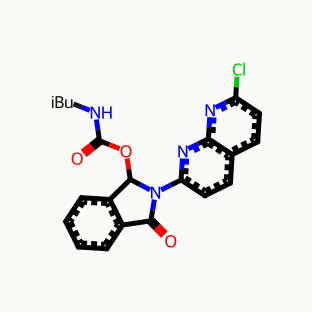 CCC(C)NC(=O)OC1c2ccccc2C(=O)N1c1ccc2ccc(Cl)nc2n1